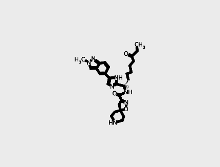 CCC(=O)CCCCC[C@H](NC(=O)C1=NOC2(CCNCC2)C1)c1ncc(-c2ccc3nn(C)cc3c2)[nH]1